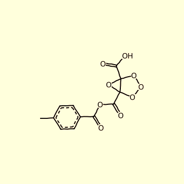 Cc1ccc(C(=O)OC(=O)C23OOOC2(C(=O)O)O3)cc1